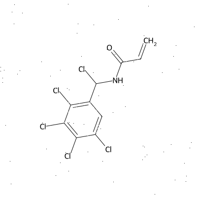 C=CC(=O)NC(Cl)c1cc(Cl)c(Cl)c(Cl)c1Cl